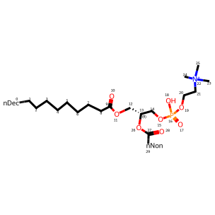 CCCCCCCCCCCCCCCCCCC(=O)OC[C@H](COP(=O)(O)OCC[N+](C)(C)C)OC(=O)CCCCCCCCC